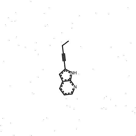 CCC#Cc1cc2cccnc2[nH]1